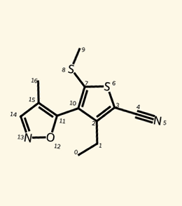 CCc1c(C#N)sc(SC)c1-c1oncc1C